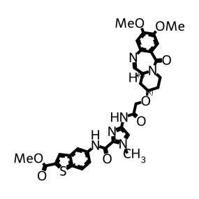 COC(=O)c1cc2cc(NC(=O)c3nc(NC(=O)CO[C@@H]4CCN5C(=O)c6cc(OC)c(OC)cc6N=C[C@@H]5C4)cn3C)ccc2s1